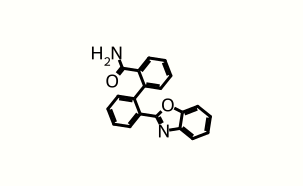 NC(=O)c1ccccc1-c1ccccc1-c1nc2ccccc2o1